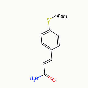 CCCCCSc1ccc(C=CC(N)=O)cc1